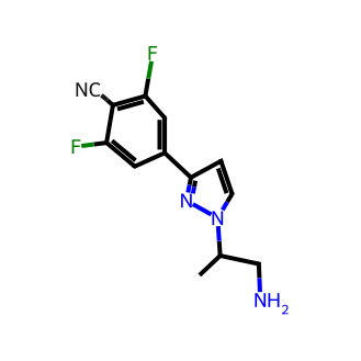 CC(CN)n1ccc(-c2cc(F)c(C#N)c(F)c2)n1